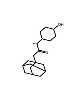 O=C(CC12CC3CC(CC(C3)C1)C2)NC1CCC(O)CC1